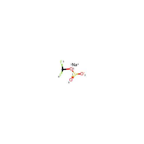 O=S([O-])OC(F)F.[Na+]